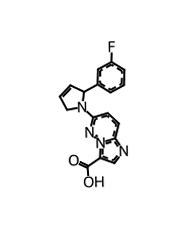 O=C(O)c1cnc2ccc(N3CC=CC3c3cccc(F)c3)nn12